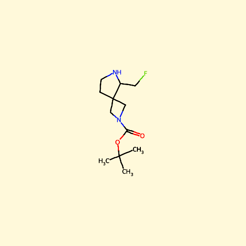 CC(C)(C)OC(=O)N1CC2(CCNC2CF)C1